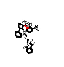 O=C(O)c1cccc(-c2ccccc2)c1N(C(=O)COCCN1C(=O)c2ccccc2C(F)C1=O)c1ccc([N+](=O)[O-])c2nonc12